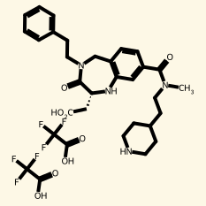 CN(CCC1CCNCC1)C(=O)c1ccc2c(c1)N[C@H](CC(=O)O)C(=O)N(CCc1ccccc1)C2.O=C(O)C(F)(F)F.O=C(O)C(F)(F)F